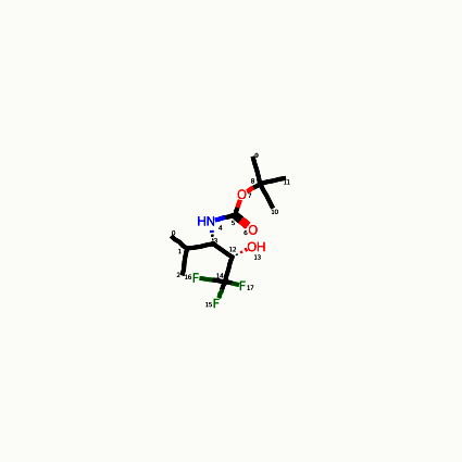 CC(C)[C@H](NC(=O)OC(C)(C)C)[C@H](O)C(F)(F)F